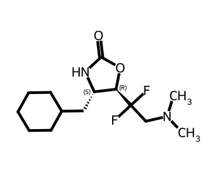 CN(C)CC(F)(F)[C@@H]1OC(=O)N[C@H]1CC1CCCCC1